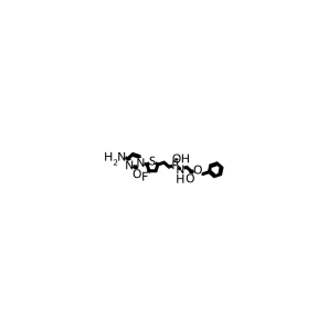 Nc1ccn(C2SC(CCP(O)NCC(=O)OCc3ccccc3)CC2F)c(=O)n1